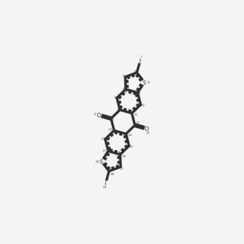 O=C1c2cc3cc(I)sc3cc2C(=O)c2cc3cc(I)sc3cc21